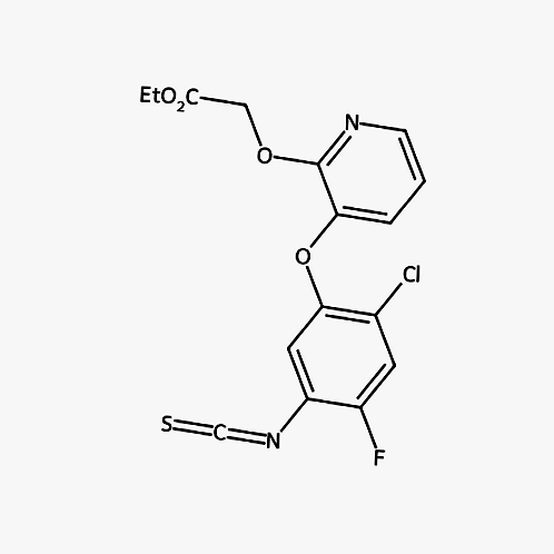 CCOC(=O)COc1ncccc1Oc1cc(N=C=S)c(F)cc1Cl